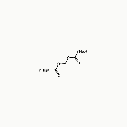 CCCCCCCC(=O)OCOC(=O)CCCCCCC